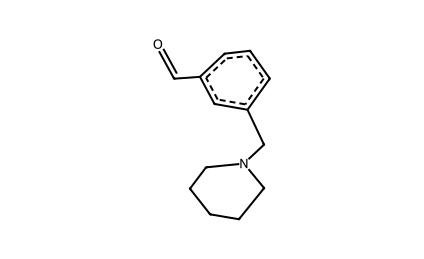 O=Cc1cccc(CN2CCCCC2)c1